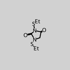 CCSN1CC(=O)N(SCC)C1=O